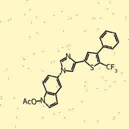 CC(=O)On1ccc2cc(-n3cnc(-c4cc(-c5ccccc5)c(C(F)(F)F)s4)c3)ccc21